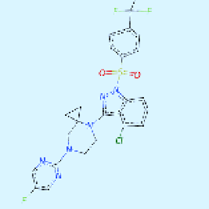 CC(F)(F)c1ccc(S(=O)(=O)n2nc(N3CCN(c4ncc(F)cn4)CC34CC4)c3c(Cl)cccc32)cc1